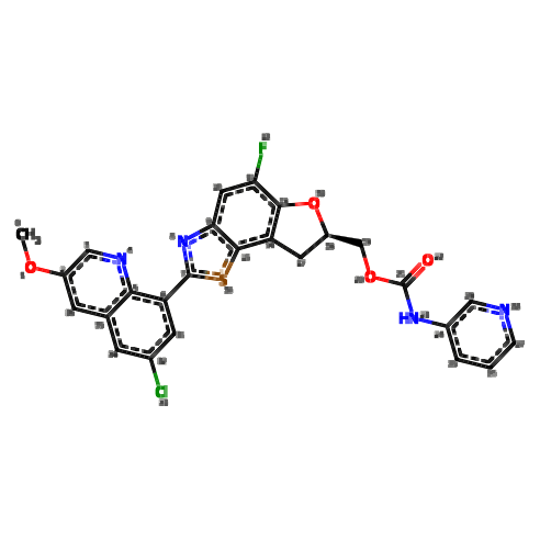 COc1cnc2c(-c3nc4cc(F)c5c(c4s3)C[C@H](COC(=O)Nc3cccnc3)O5)cc(Cl)cc2c1